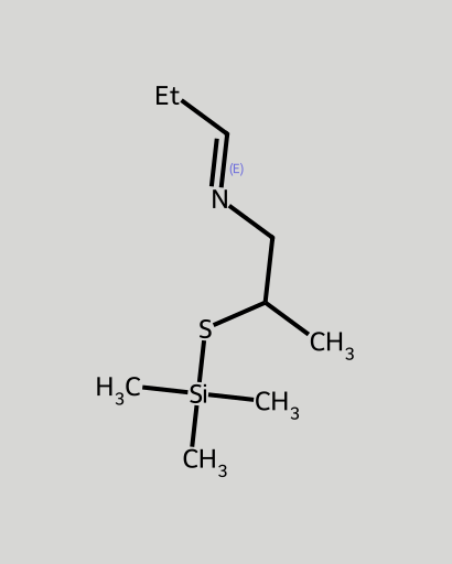 CC/C=N/CC(C)S[Si](C)(C)C